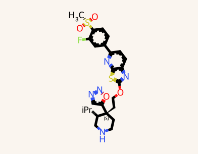 CC(C)C1CNCC[C@@]1(CCOc1nc2ccc(-c3ccc(S(C)(=O)=O)c(F)c3)nc2s1)c1cnno1